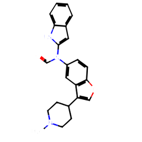 CN1CCC(c2coc3ccc(N(C=O)c4cc5ccccc5[nH]4)cc23)CC1